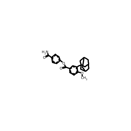 COc1ccc(C(=O)Oc2ccc(C(N)=O)cc2)cc1C12CC3CC(CC(C3)C1)C2